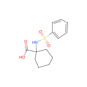 O=C(O)C1(NS(=O)(=O)c2ccccc2)CCCCC1